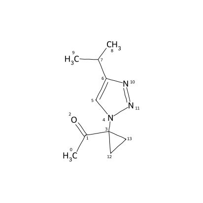 CC(=O)C1(n2cc(C(C)C)nn2)CC1